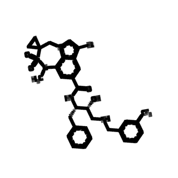 CCc1cn2c3c(cc(C(=O)N[C@@H](Cc4ccccc4)[C@H](O)CNCc4cccc(C(F)(F)F)c4)cc13)N(C)S(=O)(=O)C1(CC1)C2